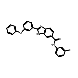 O=C(Nc1cccc(Cl)c1)c1ccc2nc(-c3cccc(Oc4ccccc4)c3)[nH]c2c1